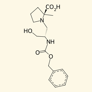 C[C@@]1(C(=O)O)CCCN1C[C@@H](CO)NC(=O)OCc1ccccc1